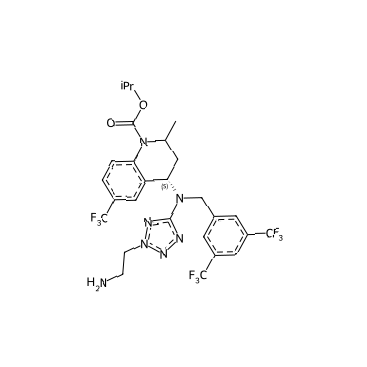 CC(C)OC(=O)N1c2ccc(C(F)(F)F)cc2[C@@H](N(Cc2cc(C(F)(F)F)cc(C(F)(F)F)c2)c2nnn(CCN)n2)CC1C